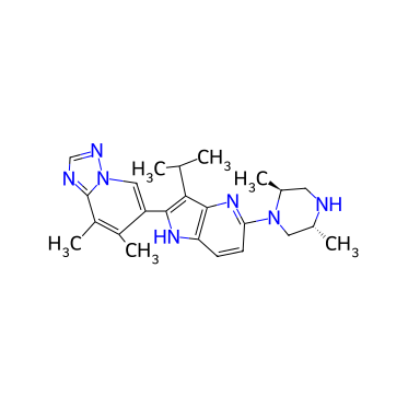 Cc1c(-c2[nH]c3ccc(N4C[C@@H](C)NC[C@@H]4C)nc3c2C(C)C)cn2ncnc2c1C